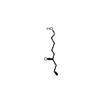 C=CCC(=O)CCCCCO